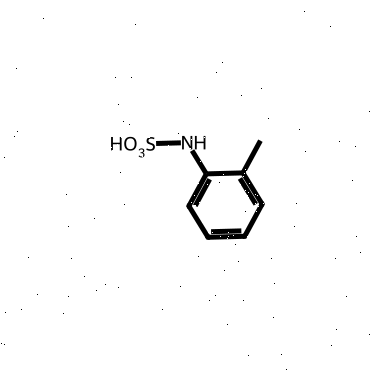 Cc1ccccc1NS(=O)(=O)O